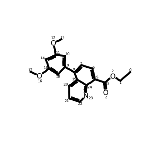 CCOC(=O)c1ccc(-c2cc(OC)cc(OC)c2)c2cccnc12